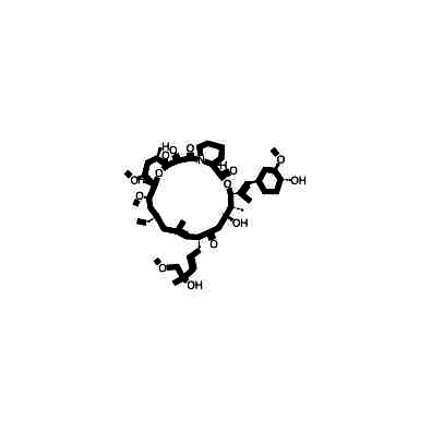 CC[C@H]1C/C(C)=C/[C@@H](C/C=C/C(C)(O)COC)C(=O)C[C@H](O)[C@@H](C)[C@@H](/C(C)=C/[C@@H]2CC[C@@H](O)[C@H](OC)C2)OC(=O)[C@@H]2CCCCN2C(=O)C(=O)[C@]2(O)O[C@H]([C@@H](OC)C1)[C@@H](OC)C[C@H]2C